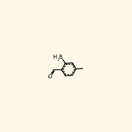 Bc1cc(C)ccc1C=O